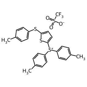 Cc1ccc(Sc2ccc([S+](c3ccc(C)cc3)c3ccc(C)cc3)s2)cc1.O=S(=O)([O-])C(F)(F)F